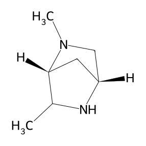 CC1N[C@@H]2C[C@H]1N(C)C2